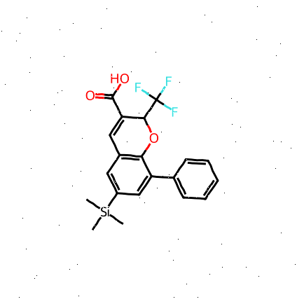 C[Si](C)(C)c1cc2c(c(-c3ccccc3)c1)OC(C(F)(F)F)C(C(=O)O)=C2